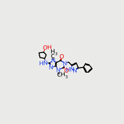 Cn1c(N[C@H]2CC[C@@H](O)C2)nc2c1c(=O)n(Cc1cc(-c3ccccc3)n[nH]1)c(=O)n2C